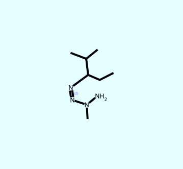 CCC(/N=N\N(C)N)C(C)C